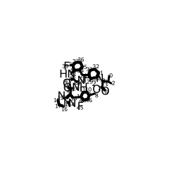 CC(C)[C@@H](N)C(=O)OCc1ccc(-c2nn3cccnc3c2C(=O)N[C@H]2N=C(c3ccccc3)c3cccc(F)c3NC2=O)c(F)c1